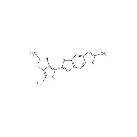 Cc1cc2cc3sc(-c4sc(C)c5sc(C)nc45)cc3cc2s1